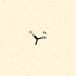 CC(=O)O.[Cr].[Fe]